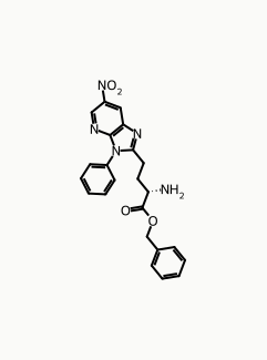 N[C@@H](CCc1nc2cc([N+](=O)[O-])cnc2n1-c1ccccc1)C(=O)OCc1ccccc1